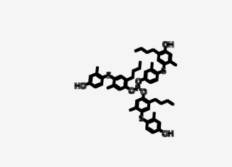 CCCCc1cc(Sc2ccc(OP(Oc3cc(C)c(Sc4ccc(O)cc4C)cc3CCCC)Oc3cc(C)c(Sc4ccc(O)cc4C)cc3CCCC)cc2C)c(C)cc1O